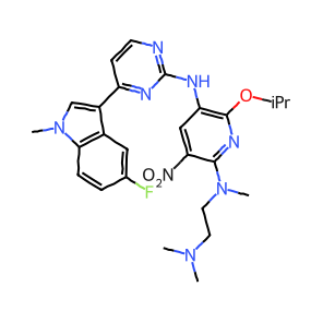 CC(C)Oc1nc(N(C)CCN(C)C)c([N+](=O)[O-])cc1Nc1nccc(-c2cn(C)c3ccc(F)cc23)n1